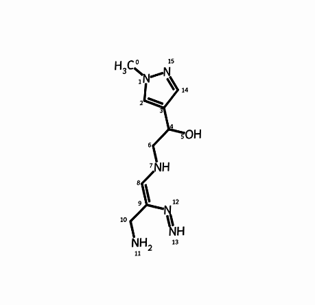 Cn1cc(C(O)CN/C=C(/CN)N=N)cn1